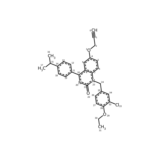 C#CCOc1ccc2c(c1)c(-c1ccc(C(C)C)cc1)nc(=O)n2Cc1ccc(OCC)c(Cl)c1